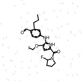 CCCc1cc(Nc2[nH]c(C(=O)N3CCCC3F)cc2OCI)ccc1C=O